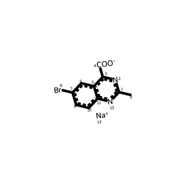 Cc1nc(C(=O)[O-])c2cc(Br)ccc2n1.[Na+]